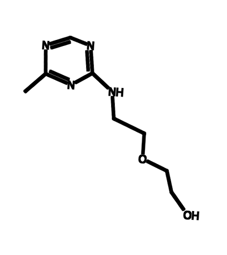 Cc1ncnc(NCCOCCO)n1